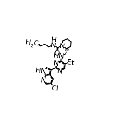 C=CCCNC(=O)N1CCCC[C@@H]1CNc1nc(-c2c[nH]c3ncc(Cl)cc23)ncc1CC